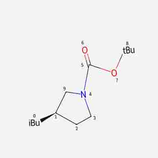 CCC(C)[C@@H]1CCN(C(=O)OC(C)(C)C)C1